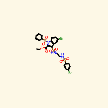 CCOC(=O)c1c(S(=O)(=O)NCCNS(=O)(=O)c2ccc(Br)cc2)c2cc(Br)ccc2n1S(=O)(=O)c1ccccc1